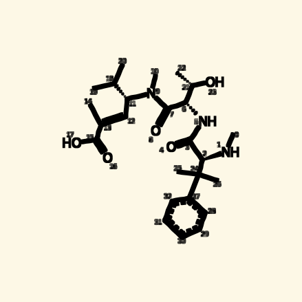 CN[C@H](C(=O)N[C@H](C(=O)N(C)[C@H](/C=C(\C)C(=O)O)C(C)C)[C@H](C)O)C(C)(C)c1ccccc1